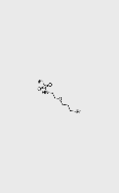 CC(C)CCCOCCNS(=O)(=O)C(C)C